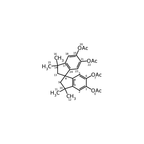 CC(=O)Oc1cc2c(cc1OC(C)=O)C1(CC2(C)C)CC(C)(C)c2cc(OC(C)=O)c(OC(C)=O)cc21